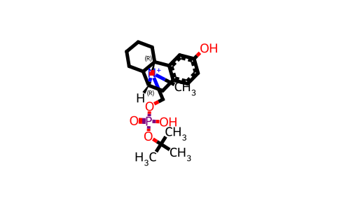 CC(C)(C)OP(=O)(O)OC[N+]1(C)C[C@]23CCCCC2[C@H]1Cc1ccc(O)cc13